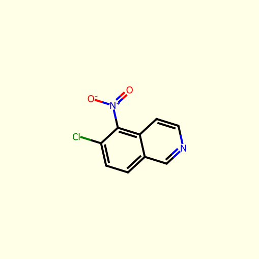 O=[N+]([O-])c1c(Cl)ccc2cnccc12